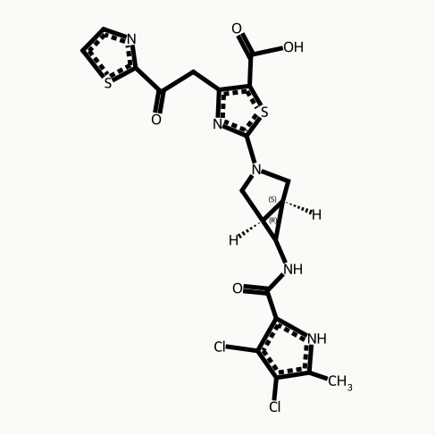 Cc1[nH]c(C(=O)NC2[C@H]3CN(c4nc(CC(=O)c5nccs5)c(C(=O)O)s4)C[C@@H]23)c(Cl)c1Cl